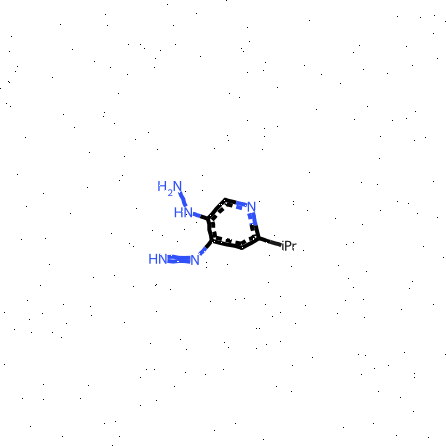 CC(C)c1cc(N=N)c(NN)cn1